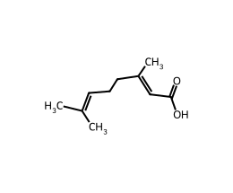 CC(C)=CCCC(C)=CC(=O)O